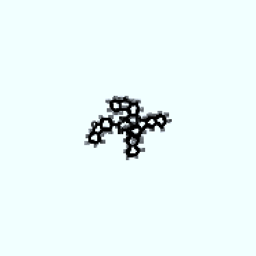 c1ccc2cc(-c3nc(-c4ccc5oc6ccccc6c5c4)nc(-c4c(-n5c6ccccc6c6cc7ccccc7cc65)ccc5sc6ccccc6c45)n3)ccc2c1